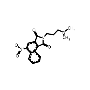 CN(C)CCCN1C(=O)c2cc([N+](=O)[O-])c3ccccc3c2C1=O